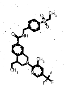 CCC1CN(c2ncc(C(F)(F)F)cc2C)Cc2cc(C(=O)NCc3ccc(S(=O)(=O)CC)cc3)ccc21